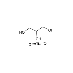 OCC(O)CO.[O]=[Ti]=[O]